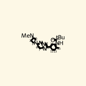 CN[C@@H]1CCN(c2ccc3nc(-c4ccc(C)c(NC(=O)C(C)(C)C)c4)cn3n2)C1